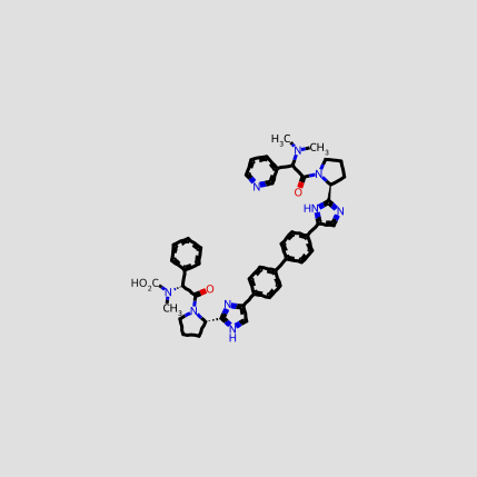 CN(C)C(C(=O)N1CCC[C@H]1c1ncc(-c2ccc(-c3ccc(-c4c[nH]c([C@@H]5CCCN5C(=O)[C@@H](c5ccccc5)N(C)C(=O)O)n4)cc3)cc2)[nH]1)c1cccnc1